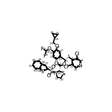 O=C(O[C@@H](Cc1c(Cl)cncc1Cl)c1ccc(OC(F)F)c(OCC2CC2)c1)[C@@H]1SCCN1S(=O)(=O)c1cc2ccccc2s1